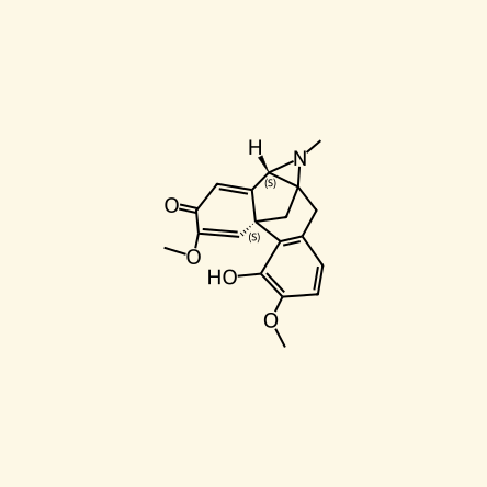 COC1=C[C@]23CC4(Cc5ccc(OC)c(O)c52)[C@H](C3=CC1=O)N4C